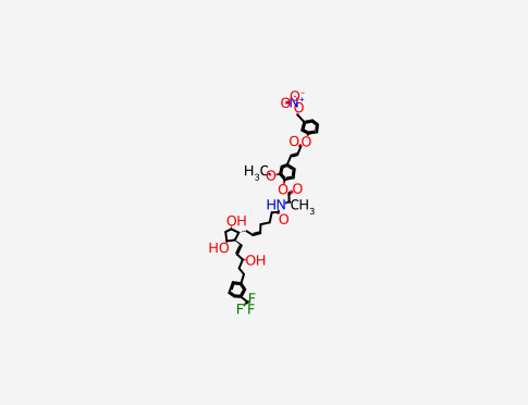 COc1cc(/C=C/C(=O)Oc2cccc(CO[N+](=O)[O-])c2)ccc1OC(=O)C(C)NC(=O)CCC/C=C\C[C@@H]1[C@@H](/C=C/[C@@H](O)CCc2cccc(C(F)(F)F)c2)[C@H](O)C[C@@H]1O